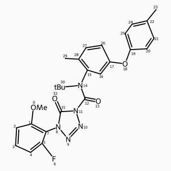 COc1cccc(F)c1-n1nnn(C(=O)N(c2cc(Oc3ccc(C)cc3)ccc2C)C(C)(C)C)c1=O